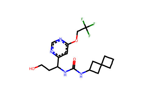 O=C(NC1CC2(CCC2)C1)NC(CCO)c1cc(OCC(F)(F)F)ncn1